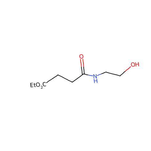 CCOC(=O)CCC(=O)NCCO